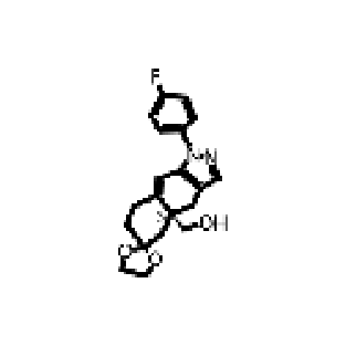 OC[C@]12Cc3cnn(-c4ccc(F)cc4)c3C=C1CCC1(C2)OCCO1